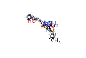 Cc1ccc(C(F)(F)Oc2nsc(NC(=O)NCCCCC(O)CN3CCCCC3)c2C(N)=O)cc1